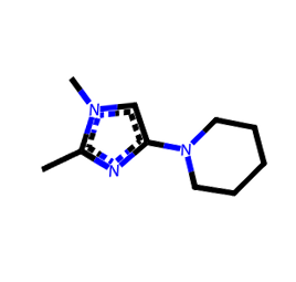 Cc1nc(N2CCCCC2)cn1C